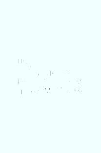 CO[C@H]1O[C@H](CO[C@H]2O[C@H](COO)[C@@H](O)[C@H](O)[C@H]2OC)[C@@H](O)[C@H](O)[C@H]1OC